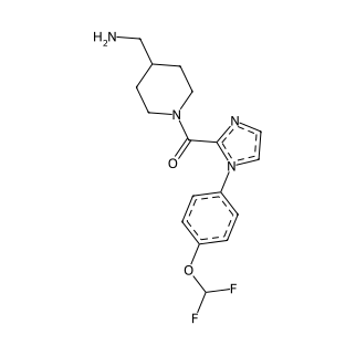 NCC1CCN(C(=O)c2nccn2-c2ccc(OC(F)F)cc2)CC1